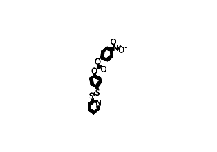 O=C(Oc1ccc(SSc2ccccn2)cc1)Oc1ccc([N+](=O)[O-])cc1